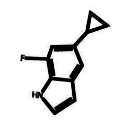 Fc1cc(C2CC2)cc2cc[nH]c12